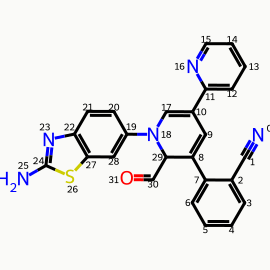 N#Cc1ccccc1C1=CC(c2ccccn2)=CN(c2ccc3nc(N)sc3c2)C1C=O